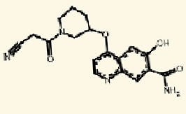 N#CCC(=O)N1CCCC(Oc2ccnc3cc(C(N)=O)c(O)cc23)C1